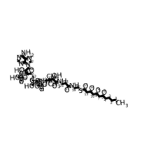 CCCCCC(=O)CC(=O)CC(=O)CC(=O)SCCNC(=O)CCNC(=O)C(O)C(C)(C)COP(=O)(O)OP(=O)(O)OC[C@H]1O[C@@H](n2cnc3c(N)ncnc32)[C@H](O)[C@@H]1OP(=O)(O)O